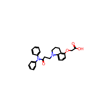 O=C(O)COc1cccc2c1CCCN2CCC(=O)N(c1ccccc1)c1ccccc1